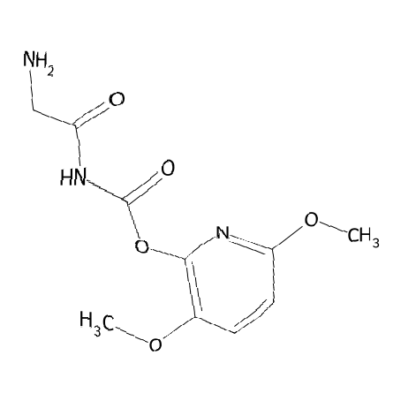 COc1ccc(OC)c(OC(=O)NC(=O)CN)n1